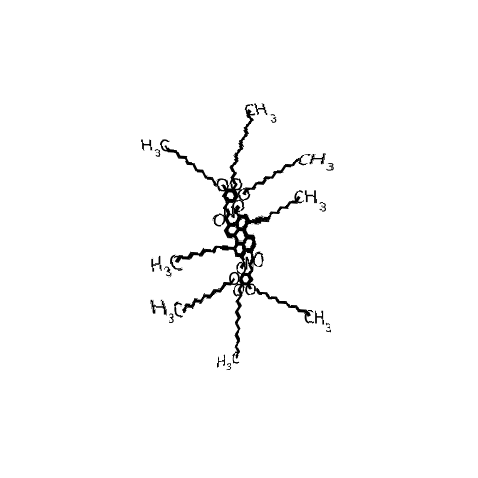 CCCCCCCCC#Cc1cc2c3c(ccc4c5c(C#CCCCCCCCC)cc6c7c(ccc(c1c34)c75)C(=O)N(Cc1cc(OCCCCCCCCCCCC)c(OCCCCCCCCCCCC)c(OCCCCCCCCCCCC)c1)C6=O)C(=O)N(Cc1cc(OCCCCCCCCCCCC)c(OCCCCCCCCCCCC)c(OCCCCCCCCCCCC)c1)C2=O